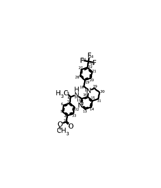 COC(=O)c1ccc(C(C)Nc2nccc3c2N(Cc2ccc(C(F)(F)F)cc2)CCC3)cc1